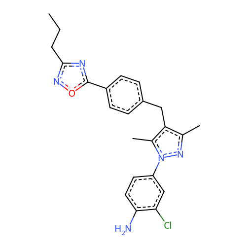 CCCc1noc(-c2ccc(Cc3c(C)nn(-c4ccc(N)c(Cl)c4)c3C)cc2)n1